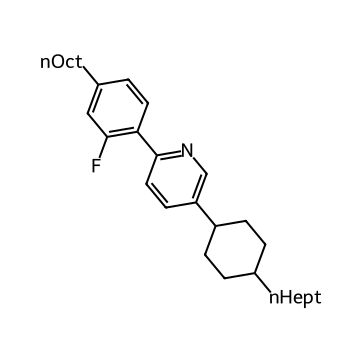 CCCCCCCCc1ccc(-c2ccc(C3CCC(CCCCCCC)CC3)cn2)c(F)c1